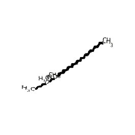 CCCCCCCCCCCCCCCCCCC=CC=COCC(COCCCCCC)N(C)C